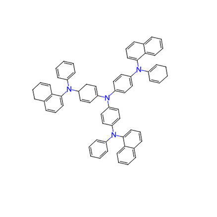 C1=CC(N(c2ccc(N(C3=CCC(N(c4ccccc4)c4cccc5c4C=CCC5)C=C3)c3ccc(N(c4ccccc4)c4cccc5ccccc45)cc3)cc2)c2cccc3ccccc23)=CCC1